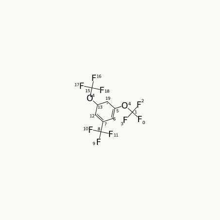 FC(F)(F)OC1=CC(C(F)(F)F)=CC(OC(F)(F)F)[CH]1